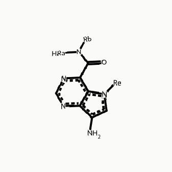 Nc1c[n]([Re])c2c(C(=O)[N]([Rb])[RaH])ncnc12